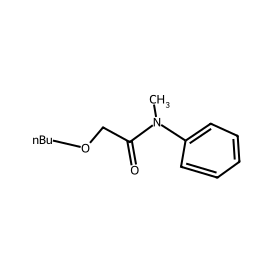 CCCCOCC(=O)N(C)c1ccccc1